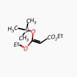 CCOC(=O)C=C(OCC)O[Si](C)(C)C